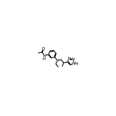 CCN(CC(C)c1c[nH]nn1)c1cccc(NC(C)=O)c1